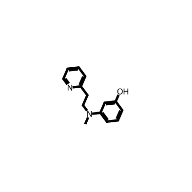 CN(CCc1ccccn1)c1cccc(O)c1